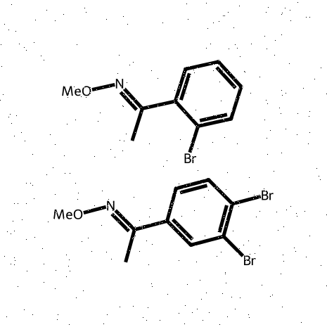 CO/N=C(\C)c1ccc(Br)c(Br)c1.CO/N=C(\C)c1ccccc1Br